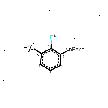 CCCCCc1cccc(C)c1F